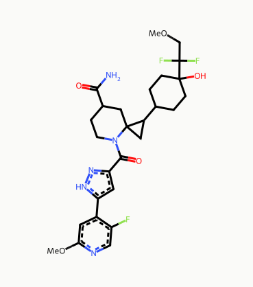 COCC(F)(F)C1(O)CCC(C2CC23CC(C(N)=O)CCN3C(=O)c2cc(-c3cc(OC)ncc3F)[nH]n2)CC1